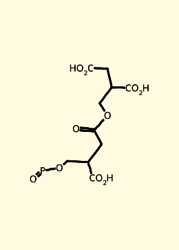 O=POCC(CC(=O)OCC(CC(=O)O)C(=O)O)C(=O)O